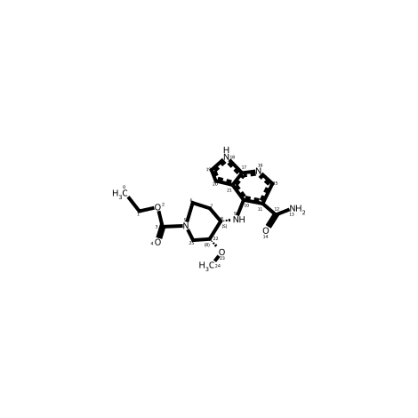 CCOC(=O)N1CC[C@H](Nc2c(C(N)=O)cnc3[nH]ccc23)[C@H](OC)C1